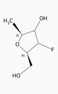 C[C@@H]1O[C@H](CO)C(F)C1O